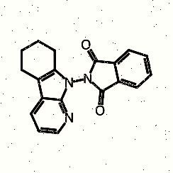 O=C1c2ccccc2C(=O)N1n1c2c(c3cccnc31)CCCC2